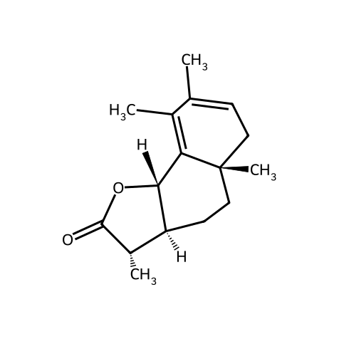 CC1=CC[C@]2(C)CC[C@H]3[C@H](C)C(=O)O[C@@H]3C2=C1C